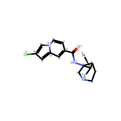 O=C(N[C@H]1CN2CCC1CC2)c1ccn2cc(Cl)cc2c1